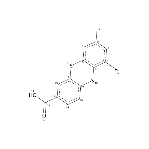 Cc1cc(Br)c2c(c1)Sc1cc(C(=O)O)ccc1S2